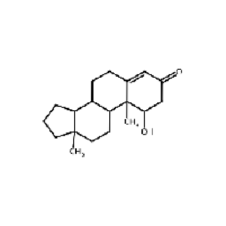 CC12CCCC1C1CCC3=CC(=O)CC(O)C3(C)C1CC2